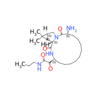 CCCNC(=O)C(=O)[C@@H]1CCCCCCCCC[C@H](N)C(=O)N2C[C@H]3[C@@H]([C@H]2C(=O)N1)C3(C)C